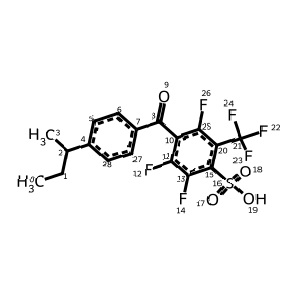 CCC(C)c1ccc(C(=O)c2c(F)c(F)c(S(=O)(=O)O)c(C(F)(F)F)c2F)cc1